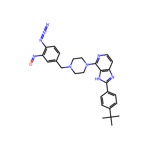 CC(C)(C)c1ccc(-c2nc3ccnc(N4CCN(Cc5ccc(N=[N+]=[N-])c(N=O)c5)CC4)c3[nH]2)cc1